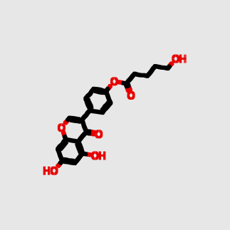 O=C(CCCCO)Oc1ccc(-c2coc3cc(O)cc(O)c3c2=O)cc1